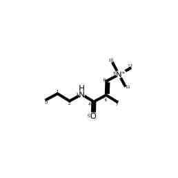 CCCNC(=O)C(C)=C[N+](C)(C)C